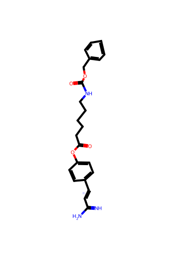 N=C(N)/C=C/c1ccc(OC(=O)CCCCCNC(=O)OCc2ccccc2)cc1